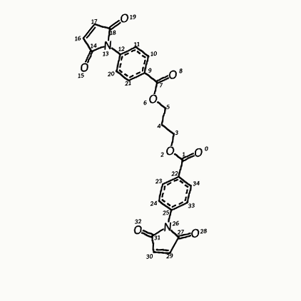 O=C(OCCCOC(=O)c1ccc(N2C(=O)C=CC2=O)cc1)c1ccc(N2C(=O)C=CC2=O)cc1